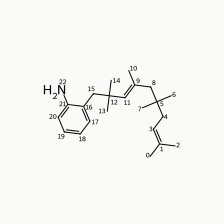 CC(C)=CCC(C)(C)C/C(C)=C/C(C)(C)Cc1ccccc1N